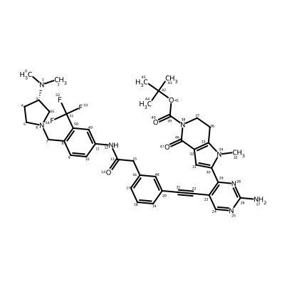 CN(C)[C@H]1CCN(Cc2ccc(NC(=O)Cc3cccc(C#Cc4cnc(N)nc4-c4cc5c(n4C)CCN(C(=O)OC(C)(C)C)C5=O)c3)cc2C(F)(F)F)C1